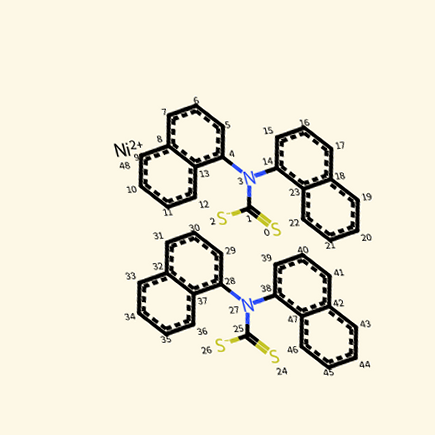 S=C([S-])N(c1cccc2ccccc12)c1cccc2ccccc12.S=C([S-])N(c1cccc2ccccc12)c1cccc2ccccc12.[Ni+2]